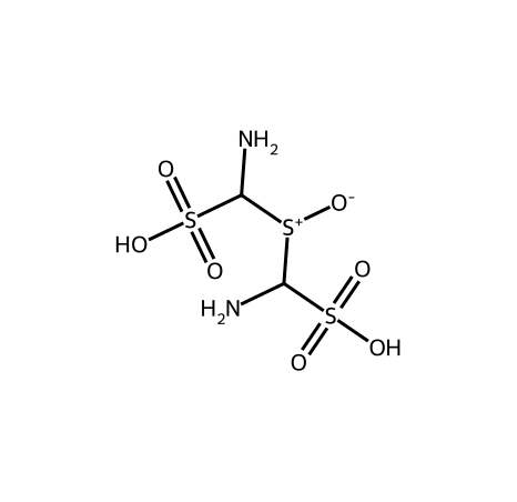 NC([S+]([O-])C(N)S(=O)(=O)O)S(=O)(=O)O